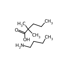 CCCC(C)(C)C(=O)O.CCCCN